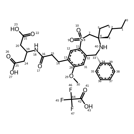 CCCC[C@]1(CC)CS(=O)(=O)c2cc(CCC(=O)NC(CC(=O)O)CC(=O)O)c(OC)cc2[C@@H](c2ccccc2)N1.O=C(O)C(F)(F)F